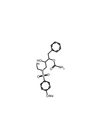 COc1ccc(S(=O)(=O)N(CC(C)C)CC(O)C(Cc2ccccc2)OC(N)=O)cc1